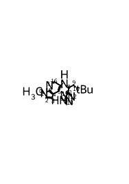 Cn1ccc2cc(NC(CC(C)(C)C)c3nn[nH]n3)cnc21